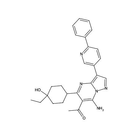 CCC1(O)CCC(c2nc3c(-c4ccc(-c5ccccc5)nc4)cnn3c(N)c2C(C)=O)CC1